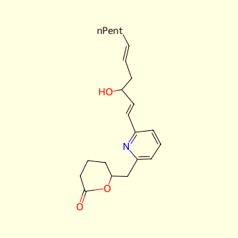 CCCCCC=CCC(O)C=Cc1cccc(CC2CCCC(=O)O2)n1